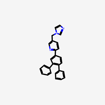 c1ccc(-c2ccc(-c3ccc(Cn4ccnc4)cn3)cc2-c2ccccc2)cc1